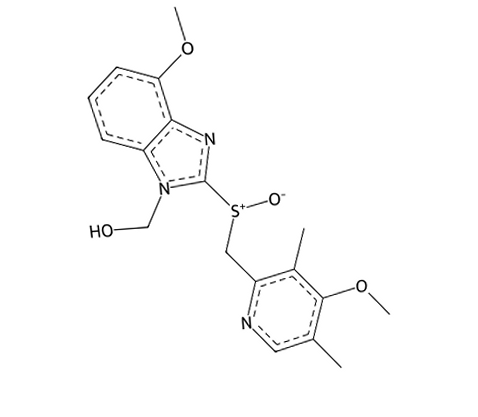 COc1c(C)cnc(C[S+]([O-])c2nc3c(OC)cccc3n2CO)c1C